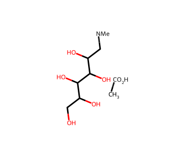 CC(=O)O.CNCC(O)C(O)C(O)C(O)CO